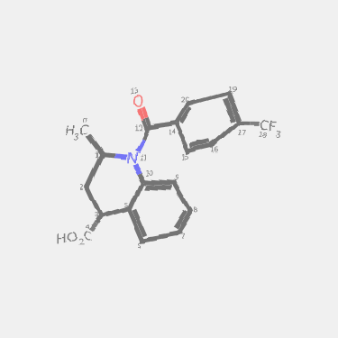 CC1CC(C(=O)O)c2ccccc2N1C(=O)c1ccc(C(F)(F)F)cc1